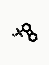 NS(=O)(=O)c1[c]ccc2c1-c1ccccc1-2